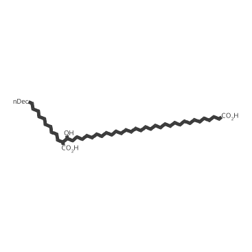 CCCCCCCCCCCCCCCCCCCCC(C(=O)O)C(O)CCCCCCCCCCCCCCCCCCCCCCCCCCCCCCCC(=O)O